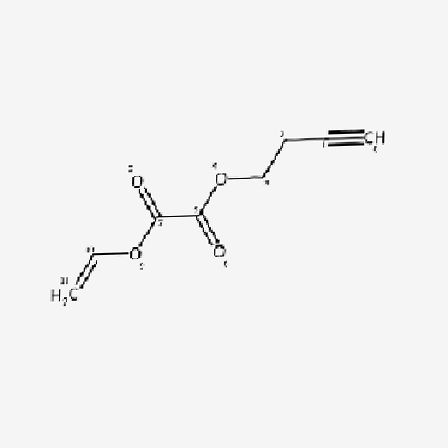 C#CCCOC(=O)C(=O)OC=C